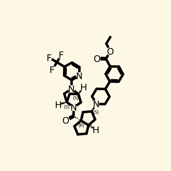 CCOC(=O)c1cccc(C2CCN([C@H]3C[C@H]4CCC[C@@]4(C(=O)N4C[C@@H]5C[C@H]4CN5c4cc(C(F)(F)F)ccn4)C3)CC2)c1